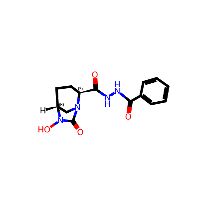 O=C(NNC(=O)[C@@H]1CC[C@@H]2CN1C(=O)N2O)c1ccccc1